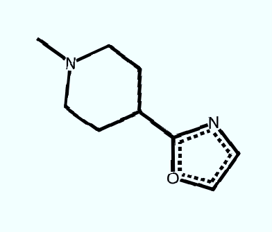 CN1CCC(c2ncco2)CC1